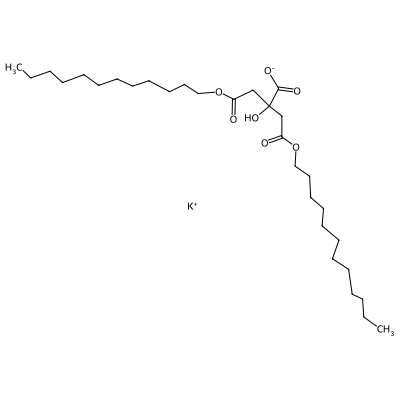 CCCCCCCCCCCCOC(=O)CC(O)(CC(=O)OCCCCCCCCCCCC)C(=O)[O-].[K+]